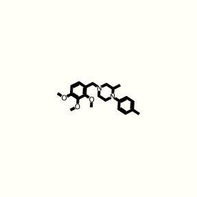 COc1ccc(CN2CCN(c3ccc(C)cc3)C(C)C2)c(OC)c1OC